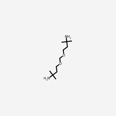 CC(C)(N)CCOCOCCC(C)(C)N